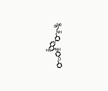 CS(=O)(=O)CCNCc1cccc(N2C=CC3=CNC=C(Nc4ccc(OCc5ccccc5)cc4)C3=C2)c1